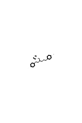 COc1ccc(CCCC(CCc2ccc(OC)cc2)Cn2ccnc2)cc1